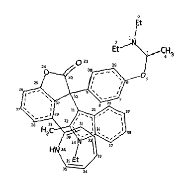 CCN(CC)C(C)Oc1ccc(C2(c3c(C)n(CC)c4ccccc34)C(=O)Oc3cccc(C4=CC=CC=CN4)c32)cc1